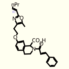 CCC/C=C/c1nc(CCOc2ccc3c(c2)C(C(=O)O)N(C(=O)C=Cc2ccccc2)CC3)c(C)o1